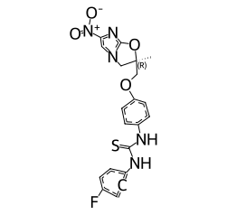 C[C@]1(COc2ccc(NC(=S)Nc3ccc(F)cc3)cc2)Cn2cc([N+](=O)[O-])nc2O1